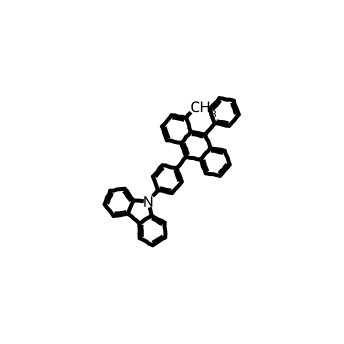 Cc1cccc2c(-c3ccc(-n4c5ccccc5c5ccccc54)cc3)c3ccccc3c(-c3ccccc3)c12